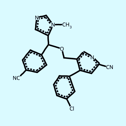 Cn1cncc1C(OCc1cnc(C#N)cc1-c1cccc(Cl)c1)c1ccc(C#N)cc1